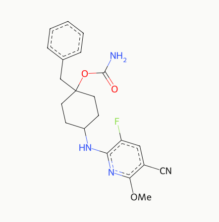 COc1nc(NC2CCC(Cc3ccccc3)(OC(N)=O)CC2)c(F)cc1C#N